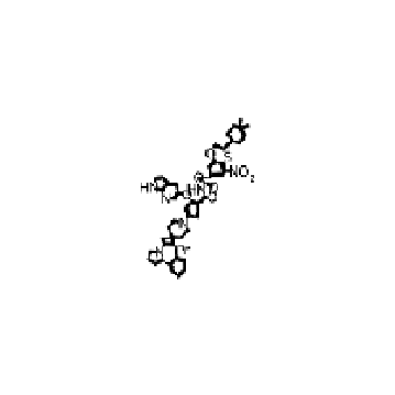 CC(C)c1ccccc1[C@H]1CCCN1C1CC2(CCN(c3ccc(C(=O)NS(=O)(=O)c4cc5c(c([N+](=O)[O-])c4)SC(C4CCC(C)(C)CC4)CO5)c(Oc4cnc5[nH]ccc5c4)c3)CC2)C1